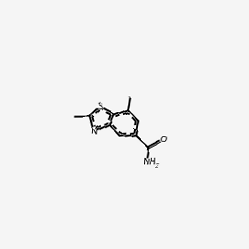 Cc1nc2cc(C(N)=O)cc(C)c2s1